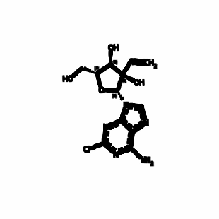 C=C[C@@]1(O)[C@H](O)[C@@H](CO)O[C@H]1n1cnc2c(N)nc(Cl)nc21